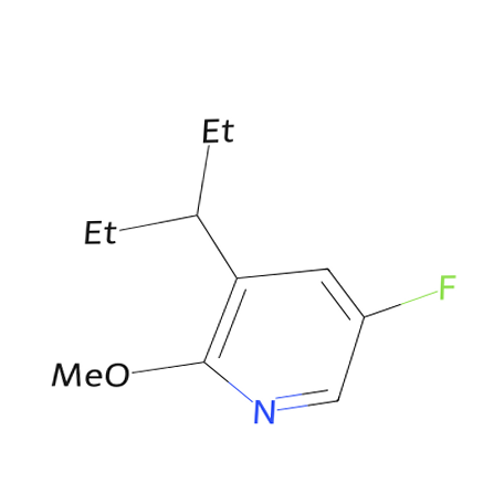 CCC(CC)c1cc(F)cnc1OC